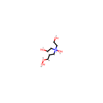 OCC[N+](O)(CCO)CCCOO